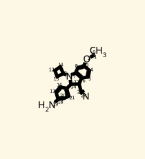 CCOc1ccc2c(c1)N(C1CCC1)C(c1ccc(N)cc1)C2C#N